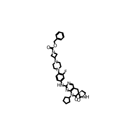 O=C(OCc1ccccc1)N1CC(N2CCN(c3ccc(Nc4ncc5c(n4)N(C4CCCC4)C(=O)[C@]4(CCNC4=O)C5)cc3F)CC2)C1